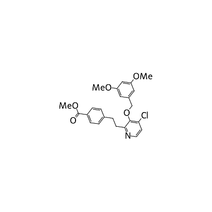 COC(=O)c1ccc(CCc2nccc(Cl)c2OCc2cc(OC)cc(OC)c2)cc1